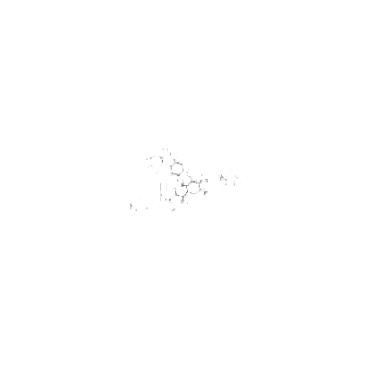 CN(C)CCCCNC(=O)c1cn2c3c(c(NCCN4CCOCC4)c(F)cc3c1=O)Oc1cc3c(cc1-2)C1=C(C=CCC1)CO3